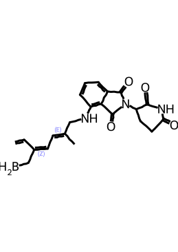 BC/C(C=C)=C/C=C(\C)CNc1cccc2c1C(=O)N(C1CCC(=O)NC1=O)C2=O